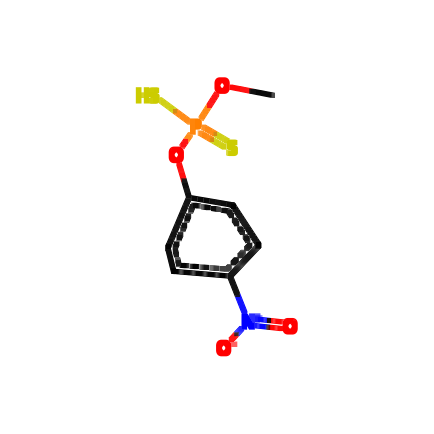 COP(=S)(S)Oc1ccc([N+](=O)[O-])cc1